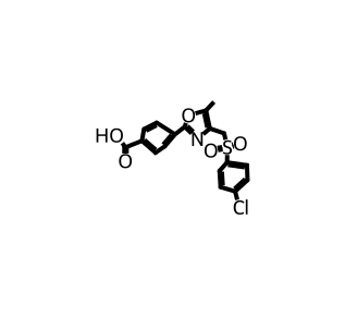 Cc1oc(-c2ccc(C(=O)O)cc2)nc1CS(=O)(=O)c1ccc(Cl)cc1